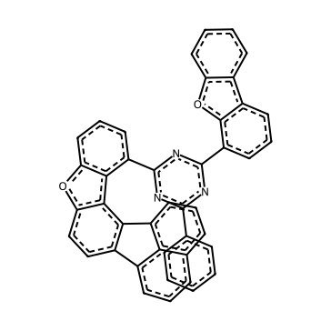 c1ccc(-c2nc(-c3cccc4c3oc3ccccc34)nc(-c3cccc4oc5ccc6c(c5c34)-c3cccc4cccc-6c34)n2)cc1